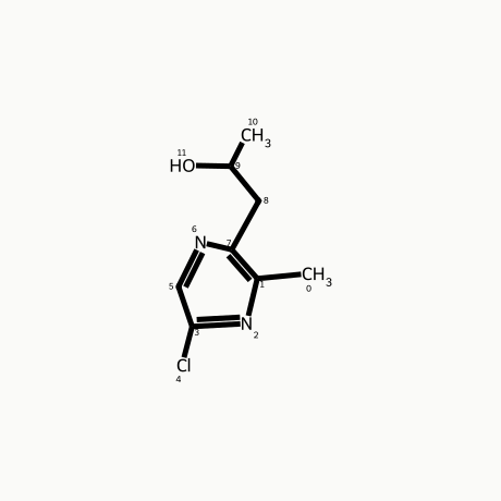 Cc1nc(Cl)cnc1CC(C)O